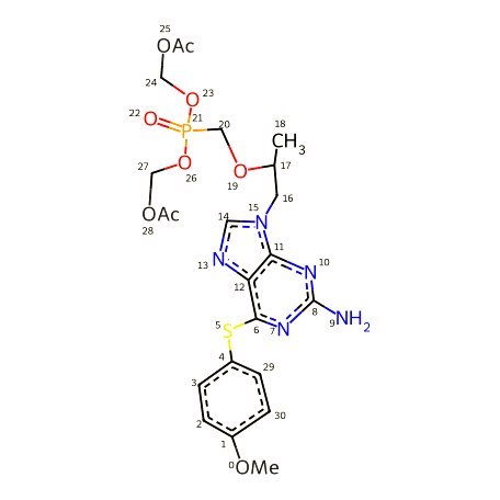 COc1ccc(Sc2nc(N)nc3c2ncn3CC(C)OCP(=O)(OCOC(C)=O)OCOC(C)=O)cc1